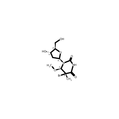 CO[C@H]1N([C@H]2C[C@H](O)[C@@H](CO)O2)C(=O)NC(=O)[C@]1(C)Br